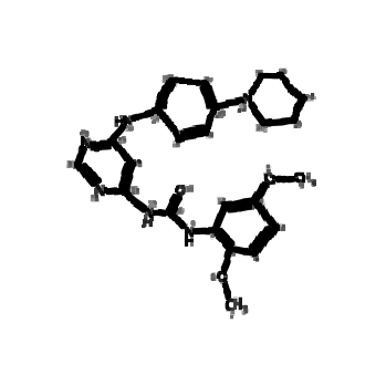 COc1ccc(OC)c(NC(=O)Nc2cc(Nc3ccc(N4CCCCC4)cc3)ncn2)c1